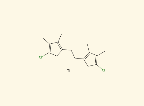 CC1=C(Cl)CC(CCC2=C(C)C(C)=C(Cl)C2)=C1C.[Ti]